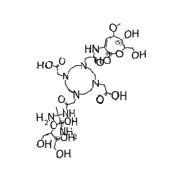 COC1C=C(NC(=O)CN2CCN(CC(=O)O)CCN(CC(=O)NC(C)(N)[C@](N)(O)OC(CO)[C@@H](O)CO)CCN(CC(=O)O)CC2)[C@H](O)OC(CO)[C@H]1O